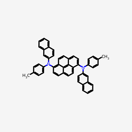 Cc1ccc(N(c2ccc3ccccc3c2)c2ccc3ccc4c(N(c5ccc(C)cc5)c5ccc6ccccc6c5)ccc5ccc2c3c54)cc1